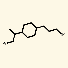 CC(C)CCCC1CCC(C(C)CC(C)C)CC1